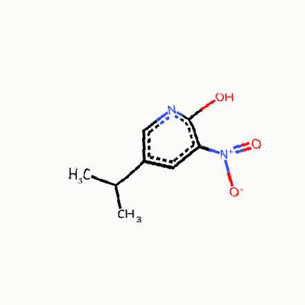 CC(C)c1cnc(O)c([N+](=O)[O-])c1